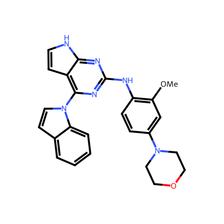 COc1cc(N2CCOCC2)ccc1Nc1nc(-n2ccc3ccccc32)c2cc[nH]c2n1